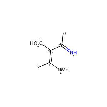 CN/C(C)=C(\C(C)=N)C(=O)O